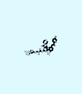 C[C@]1(c2cc(/C=C(\F)c3ccc(Br)cn3)ccc2F)N=C(OC(=O)NCOCC[Si](C)(C)C)S[C@@]2(C(=O)N3CCOCC3)C[C@H]21